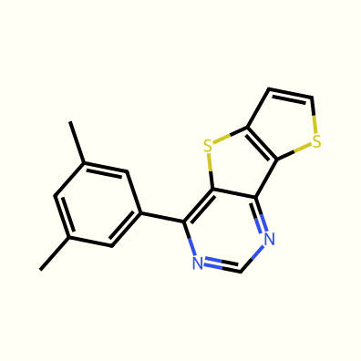 Cc1cc(C)cc(-c2ncnc3c2sc2ccsc23)c1